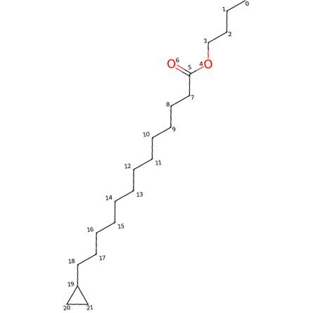 CCCCOC(=O)CCCCCCCCCCCCC1CC1